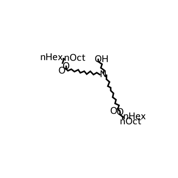 CCCCCCCCC(CCCCCC)COC(=O)CCCCCCCCCCCN(CCCCO)CCCCCCCCCCCC(=O)OCC(CCCCCC)CCCCCCCC